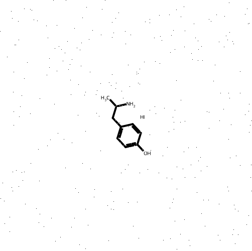 CC(N)Cc1ccc(O)cc1.I